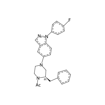 CC(=O)N1CCN(c2ccc3c(cnn3-c3ccc(F)cc3)c2)C[C@H]1Cc1ccccc1